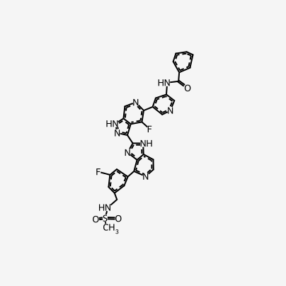 CS(=O)(=O)NCc1cc(F)cc(-c2nccc3[nH]c(-c4n[nH]c5cnc(-c6cncc(NC(=O)c7ccccc7)c6)c(F)c45)nc23)c1